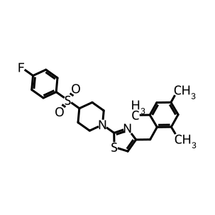 Cc1cc(C)c(Cc2csc(N3CCC(S(=O)(=O)c4ccc(F)cc4)CC3)n2)c(C)c1